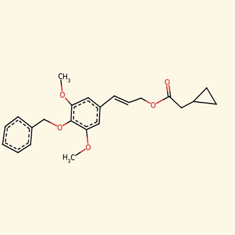 COc1cc(/C=C/COC(=O)CC2CC2)cc(OC)c1OCc1ccccc1